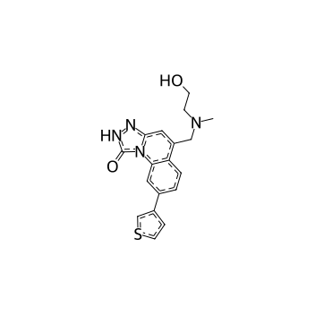 CN(CCO)Cc1cc2n[nH]c(=O)n2c2cc(-c3ccsc3)ccc12